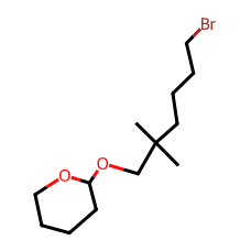 CC(C)(CCCCBr)COC1CCCCO1